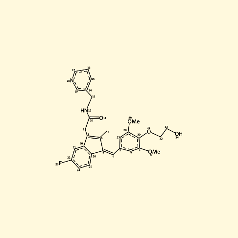 COc1cc(C=C2C(C)=C(CC(=O)NCc3cccnc3)c3cc(F)ccc32)cc(OC)c1OCCO